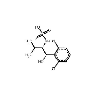 CC(C)[C@H](NS(=O)(=O)O)[C@@H](O)c1c(Cl)cccc1Cl